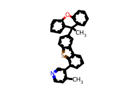 Cc1ccncc1-c1cccc2c1sc1ccc(C3(C)c4ccccc4Oc4ccccc43)cc12